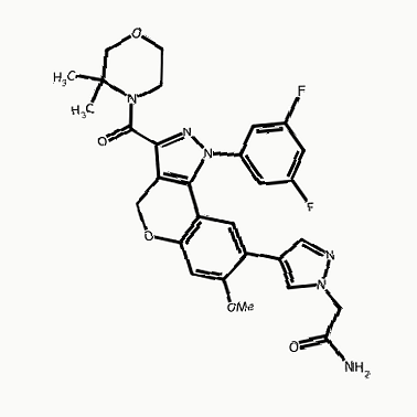 COc1cc2c(cc1-c1cnn(CC(N)=O)c1)-c1c(c(C(=O)N3CCOCC3(C)C)nn1-c1cc(F)cc(F)c1)CO2